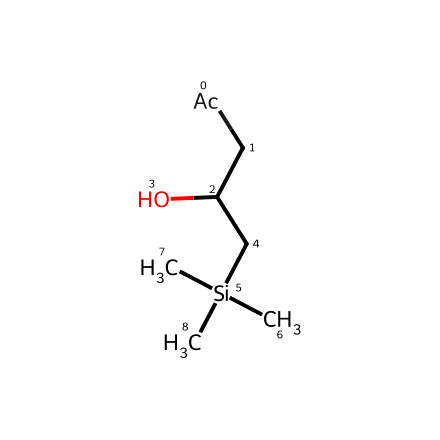 CC(=O)CC(O)C[Si](C)(C)C